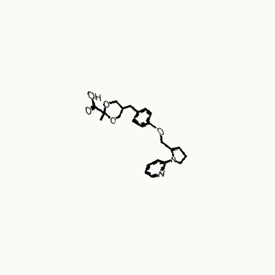 CC1(C(=O)O)OCC(Cc2ccc(OCC3CCCN3c3ccccn3)cc2)CO1